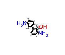 Nc1cccc(-c2cccc(N)c2CO)c1